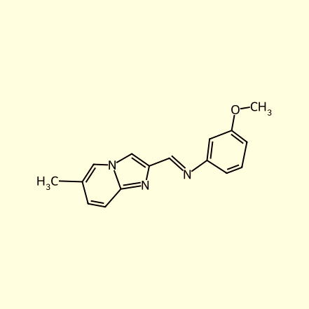 COc1cccc(N=Cc2cn3cc(C)ccc3n2)c1